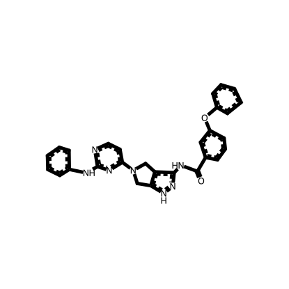 O=C(Nc1n[nH]c2c1CN(c1ccnc(Nc3ccccc3)n1)C2)c1cccc(Oc2ccccc2)c1